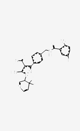 COc1ccc(F)cc1C(=O)NCc1ccc(-c2nn(C3C=NC=CC3(F)F)c(N)c2C(N)=O)cc1